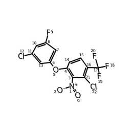 O=[N+]([O-])c1c(Oc2cc(F)cc(Cl)c2)ccc(C(F)(F)F)c1Cl